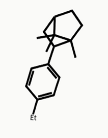 [CH2]Cc1ccc(C2CC3CCC2(C)C3(C)C)cc1